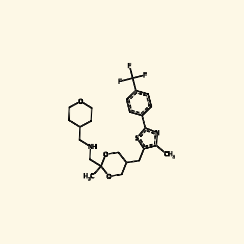 Cc1nc(-c2ccc(C(F)(F)F)cc2)sc1CC1COC(C)(CNCC2CCOCC2)OC1